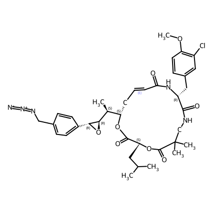 COc1ccc(C[C@H]2NC(=O)/C=C/C[C@@H]([C@H](C)[C@H]3O[C@@H]3c3ccc(CN=[N+]=[N-])cc3)OC(=O)[C@H](CC(C)C)OC(=O)C(C)(C)CNC2=O)cc1Cl